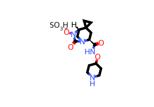 O=C(NOC1CCNCC1)[C@@H]1CC2(CC2)[C@@H]2CN1C(=O)N2OS(=O)(=O)O